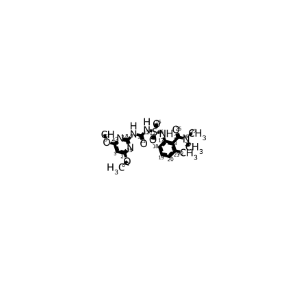 COc1cc(OC)nc(NC(=O)NS(=O)(=O)Nc2cccc(C)c2C(=O)N(C)C)n1